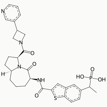 CC(c1ccc2sc(C(=O)N[C@H]3CCC[C@H]4CC[C@@H](C(=O)N5CC(c6cccnc6)C5)N4C3=O)cc2c1)P(=O)(O)O